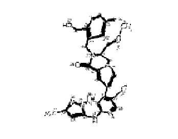 COCC1Cn2cc(-c3cc(Nc4cc(C)nn4C)ncc3Cl)cc2C(=O)N1Cc1cc(F)ccc1CO